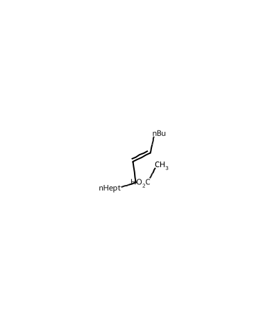 CC(=O)O.CCCC/C=C/CCCCCCCC